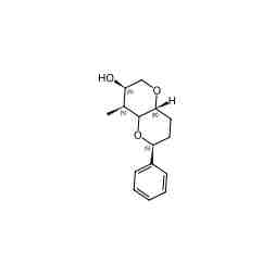 C[C@@H]1C2O[C@H](c3ccccc3)CC[C@H]2OC[C@@H]1O